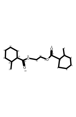 CC1CCCCC1C(=O)OCCOC(=O)C1CCCCC1C